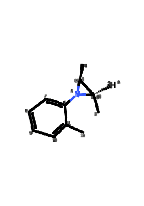 [2H][C@@]1(C)[C@H](C)N1c1ccccc1C